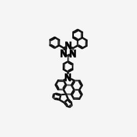 c1ccc(-c2nc(-c3ccc(-n4c5cccc6c5c5c7c(cccc7ccc54)C64c5ccccc5-c5ccccc54)cc3)nc(-c3cccc4ccccc34)n2)cc1